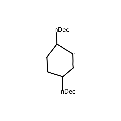 CCCCCCCCCCC1[CH]CC(CCCCCCCCCC)[CH]C1